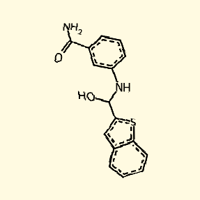 NC(=O)c1cccc(NC(O)c2cc3ccccc3s2)c1